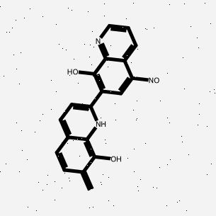 C=c1ccc2c(c1O)NC(c1cc(N=O)c3cccnc3c1O)=CC=2